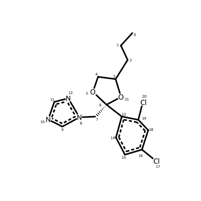 CCCC1CO[C@](Cn2cncn2)(c2ccc(Cl)cc2Cl)O1